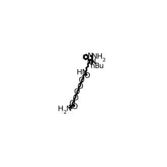 CCCCc1nc2c(N)nc3ccccc3c2n1CCCCNC(=O)CCOCCOCCOCCOCCOC(=O)C(C)(C)N